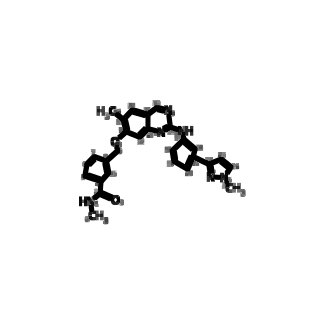 CNC(=O)c1cccc(COc2cc3nc(Nc4cccc(-c5ccn(C)n5)c4)ncc3cc2C)c1